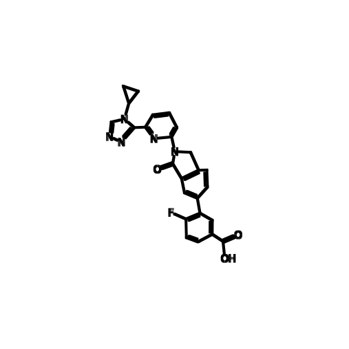 O=C(O)c1ccc(F)c(-c2ccc3c(c2)C(=O)N(c2cccc(-c4nncn4C4CC4)n2)C3)c1